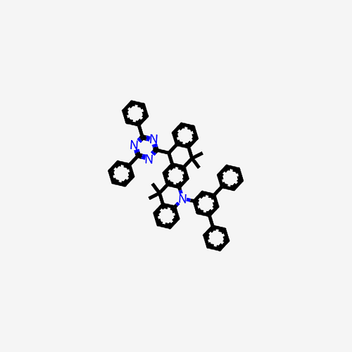 CC1(C)c2ccccc2C(c2nc(-c3ccccc3)nc(-c3ccccc3)n2)c2cc3c(cc21)N(c1cc(-c2ccccc2)cc(-c2ccccc2)c1)c1ccccc1C3(C)C